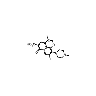 C[C@H]1COc2c(N3CCN(C)CC3)c(F)cn3c(=O)c(C(=O)O)cc1c23